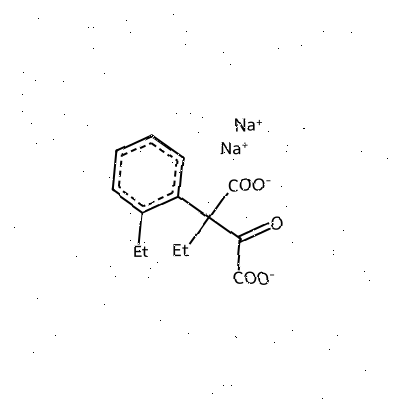 CCc1ccccc1C(CC)(C(=O)[O-])C(=O)C(=O)[O-].[Na+].[Na+]